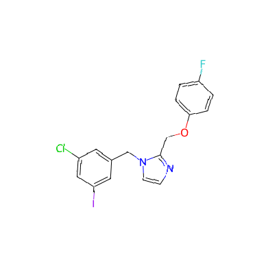 Fc1ccc(OCc2nccn2Cc2cc(Cl)cc(I)c2)cc1